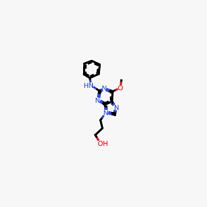 COc1nc(Nc2ccccc2)nc2c1ncn2CCCO